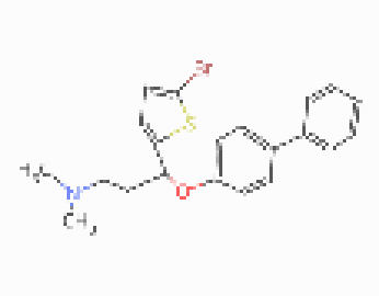 CN(C)CCC(Oc1ccc(-c2ccccc2)cc1)c1ccc(Br)s1